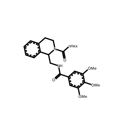 CCCCCCC(=O)N1CCc2ccccc2C1CNC(=O)c1cc(OC)c(OC)c(OC)c1